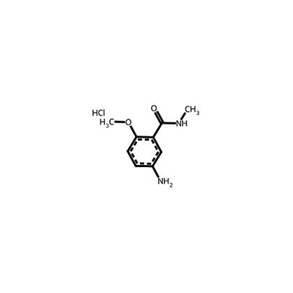 CNC(=O)c1cc(N)ccc1OC.Cl